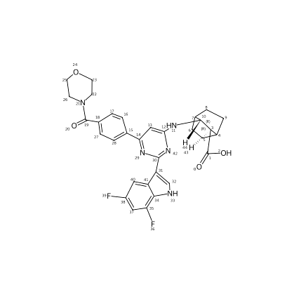 O=C(O)[C@@H]1C2CCC(CC2)[C@H]1Nc1cc(-c2ccc(C(=O)N3CCOCC3)cc2)nc(-c2c[nH]c3c(F)cc(F)cc23)n1